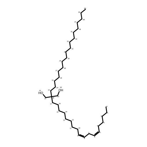 CCCCC/C=C\C/C=C\CCCCCCCCC(CO)(CO)CCCCCCCCCCCCCCCCCC